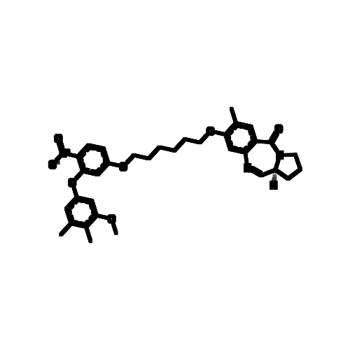 COc1cc(Oc2cc(OCCCCCCOc3cc4c(cc3C)C(=O)N3CCC[C@H]3C=N4)ccc2[N+](=O)[O-])cc(C)c1C